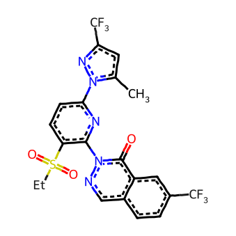 CCS(=O)(=O)c1ccc(-n2nc(C(F)(F)F)cc2C)nc1-n1ncc2ccc(C(F)(F)F)cc2c1=O